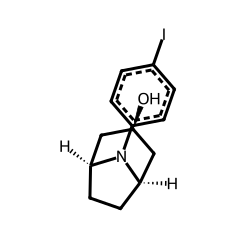 O[C@H]1C[C@H]2CC[C@@H](C1)N2c1ccc(I)cc1